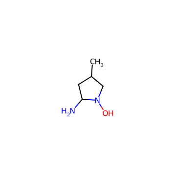 CC1CC(N)N(O)C1